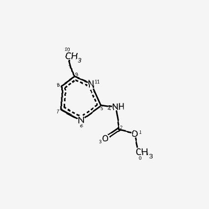 COC(=O)Nc1nccc(C)n1